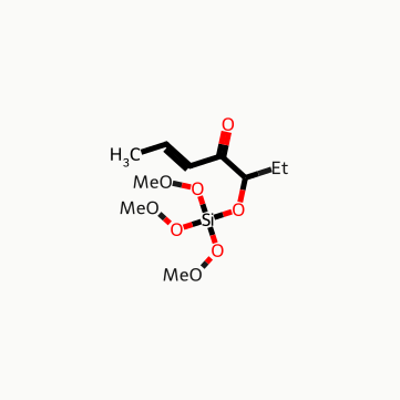 CC=CC(=O)C(CC)O[Si](OOC)(OOC)OOC